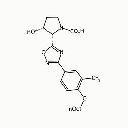 CCCCCCCCOc1ccc(-c2noc([C@@H]3[C@H](O)CCN3C(=O)O)n2)cc1C(F)(F)F